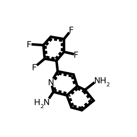 Nc1cccc2c(N)nc(-c3c(F)c(F)cc(F)c3F)cc12